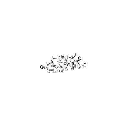 C[C@@H]1C[C@H]2[C@@H]3CCC4=CC(=O)C=C[C@]4(C)C3=CC[C@]2(C)[C@@]1(O)C(=O)CF